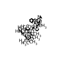 CC[C@H](C)[C@@H]([C@@H](CC(=O)N1CCC[C@H]1[C@H](OC)[C@@H](C)C(=O)N[C@@H](Cc1ccccc1)c1nccs1)OC)N(C)C(=O)[C@@H](NC(=O)[C@H](C(C)C)N(C)CCOCCNC)C(C)C